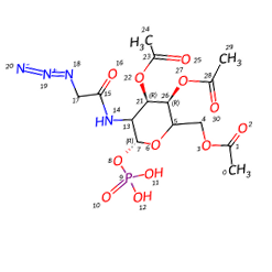 CC(=O)OCC1O[C@H](OP(=O)(O)O)C(NC(=O)CN=[N+]=[N-])[C@@H](OC(C)=O)[C@H]1OC(C)=O